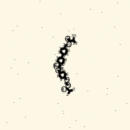 C=C(C)C(=O)OCOc1ccc(OC(F)(F)c2ccc(-c3ccc(COC(=O)C(=C)C)cc3)cc2)cc1